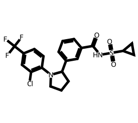 O=C(NS(=O)(=O)C1CC1)c1cccc(C2CCCN2c2ccc(C(F)(F)F)cc2Cl)c1